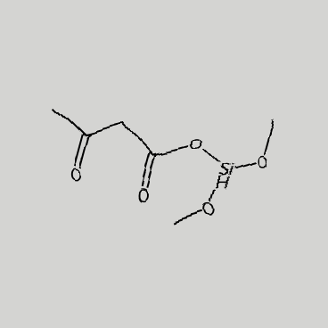 CO[SiH](OC)OC(=O)CC(C)=O